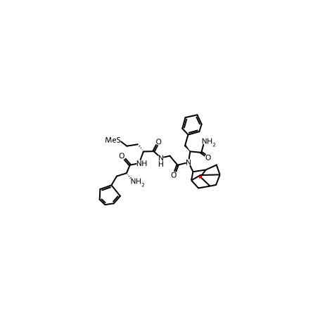 CSCC[C@@H](NC(=O)[C@H](N)Cc1ccccc1)C(=O)NCC(=O)N(C1C2CC3CC(C2)CC1C3)[C@@H](Cc1ccccc1)C(N)=O